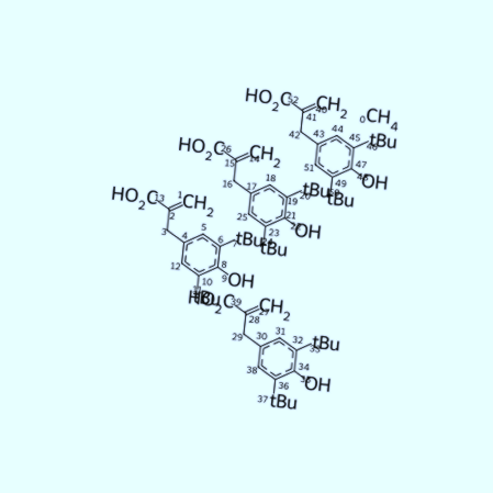 C.C=C(Cc1cc(C(C)(C)C)c(O)c(C(C)(C)C)c1)C(=O)O.C=C(Cc1cc(C(C)(C)C)c(O)c(C(C)(C)C)c1)C(=O)O.C=C(Cc1cc(C(C)(C)C)c(O)c(C(C)(C)C)c1)C(=O)O.C=C(Cc1cc(C(C)(C)C)c(O)c(C(C)(C)C)c1)C(=O)O